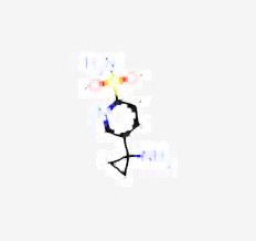 NC1(c2ccc(S(N)(=O)=O)nc2)CC1